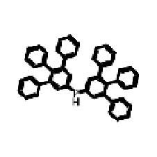 c1ccc(-c2cc(Pc3cc(-c4ccccc4)c(-c4ccccc4)c(-c4ccccc4)c3)cc(-c3ccccc3)c2-c2ccccc2)cc1